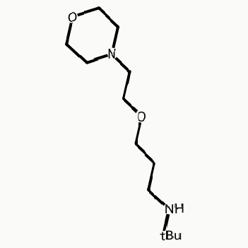 CC(C)(C)NCCCOCCN1CCOCC1